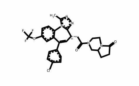 Cc1nnc2n1-c1ccc(OC(F)(F)F)cc1C(c1ccc(Cl)cc1)=C[C@H]2CC(=O)N1CCN2C(=O)CCC2C1